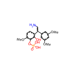 COc1cc(OC)cc(C(=CN)c2ccc(OC)c(OP(=O)(O)O)c2O)c1